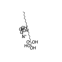 CCCCCCCCCCCCCCCCCCC(=O)C(O)C(O)CO.C[N+](C)(C)CCOP(=O)(O)O